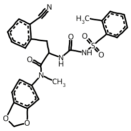 Cc1ccccc1S(=O)(=O)NC(=O)NC(Cc1ccccc1C#N)C(=O)N(C)c1ccc2c(c1)OCO2